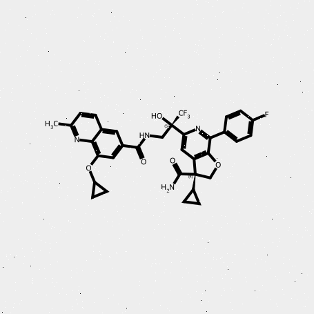 Cc1ccc2cc(C(=O)NC[C@](O)(c3cc4c(c(-c5ccc(F)cc5)n3)OC[C@@]4(C(N)=O)C3CC3)C(F)(F)F)cc(OC3CC3)c2n1